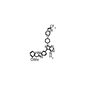 COc1ccccc1Cc1nc2ccc(-c3nn([C@H]4CC[C@H](N5CCn6cc(C(F)(F)F)nc6C5)CC4)c4ncnc(N)c34)cc2[nH]1